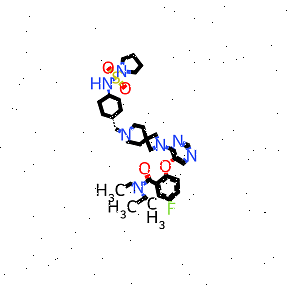 CCN(C(=O)c1cc(F)ccc1Oc1cncnc1N1CC2(CCN(C[C@H]3CC[C@H](NS(=O)(=O)N4CCCC4)CC3)CC2)C1)C(C)C